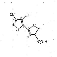 O=C(O)C1CSC(c2snc(Cl)c2Cl)=N1